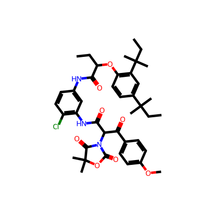 CCC(Oc1ccc(C(C)(C)CC)cc1C(C)(C)CC)C(=O)Nc1ccc(Cl)c(NC(=O)C(C(=O)c2ccc(OC)cc2)N2C(=O)OC(C)(C)C2=O)c1